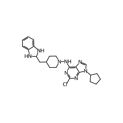 Clc1nc(NN2CCC(CC3Nc4ccccc4N3)CC2)c2ncn(C3CCCC3)c2n1